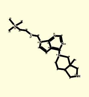 CC12CNCC1CCN(c1ncnc3c1ccn3COCC[Si](C)(C)C)C2